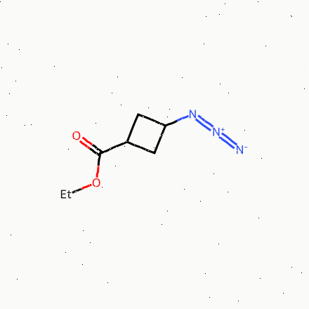 CCOC(=O)C1CC(N=[N+]=[N-])C1